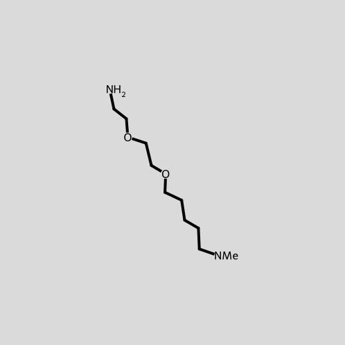 CNCCCCCOCCOCCN